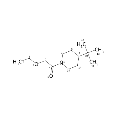 CCOCC(=O)N1CCC(C(C)(C)C)CC1